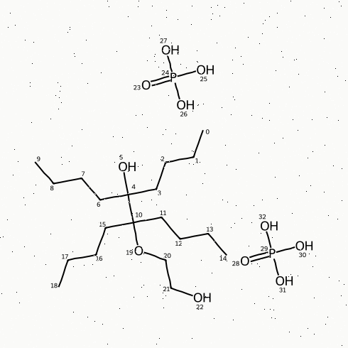 CCCCC(O)(CCCC)C(CCCC)(CCCC)OCCO.O=P(O)(O)O.O=P(O)(O)O